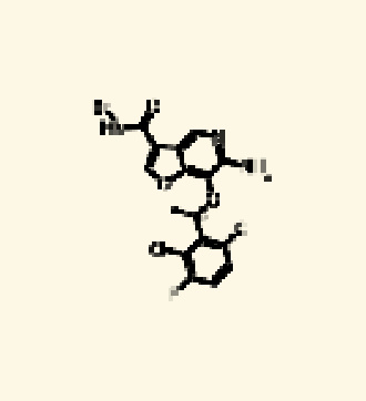 CCNC(=O)c1coc2c(O[C@H](C)c3c(Cl)ccc(F)c3Cl)c(N)ncc12